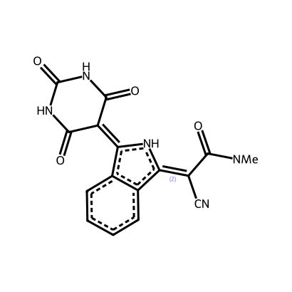 CNC(=O)/C(C#N)=c1\[nH]c(=C2C(=O)NC(=O)NC2=O)c2ccccc12